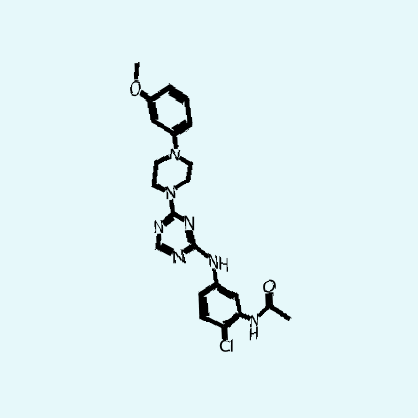 COc1cccc(N2CCN(c3ncnc(Nc4ccc(Cl)c(NC(C)=O)c4)n3)CC2)c1